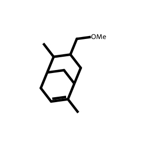 COCC1CC2CC(CC=C2C)C1C